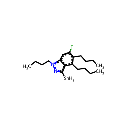 CCCCc1c(F)cc2c([c]([SnH3])nn2CCCC)c1CCCC